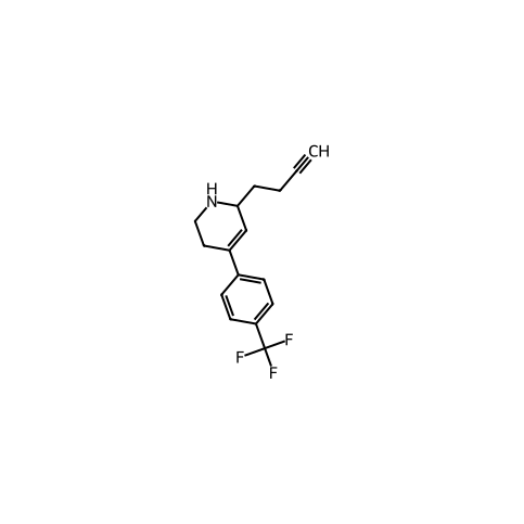 C#CCCC1C=C(c2ccc(C(F)(F)F)cc2)CCN1